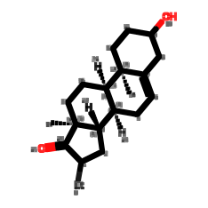 CCC1C[C@H]2[C@@H]3CC=C4CC(O)CC[C@]4(C)[C@@H]3CC[C@]2(C)C1=O